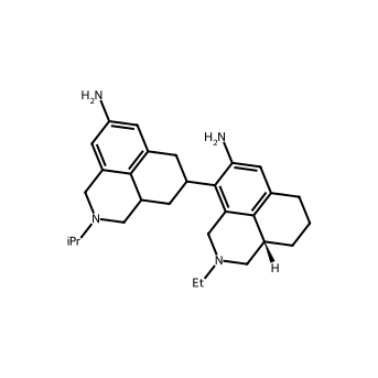 CCN1Cc2c(C3Cc4cc(N)cc5c4C(C3)CN(C(C)C)C5)c(N)cc3c2[C@H](CCC3)C1